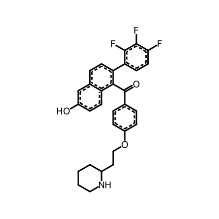 O=C(c1ccc(OCCC2CCCCN2)cc1)c1c(-c2ccc(F)c(F)c2F)ccc2cc(O)ccc12